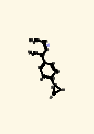 N/N=C\N(N)c1cnc([C@H]2CO2)nc1